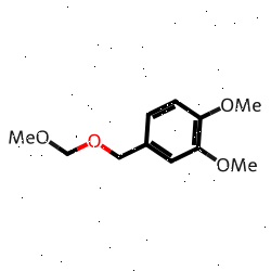 COCOCc1ccc(OC)c(OC)c1